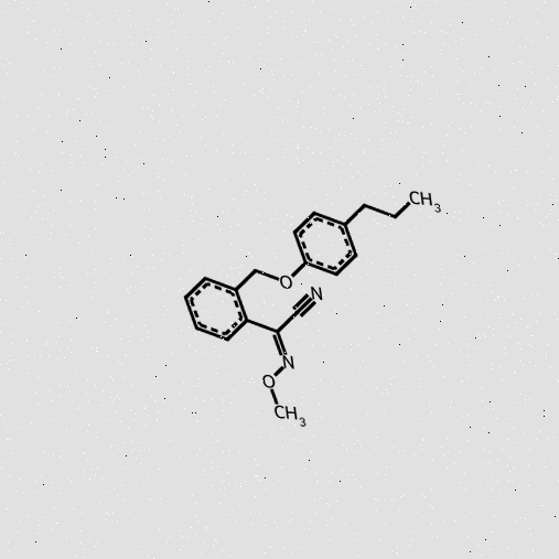 CCCc1ccc(OCc2ccccc2/C(C#N)=N\OC)cc1